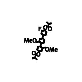 C=C(C)C(=O)Oc1ccc(-c2ccc(-c3ccc(OC(=O)C(=C)C)c(F)c3)cc2COC)c(COC)c1